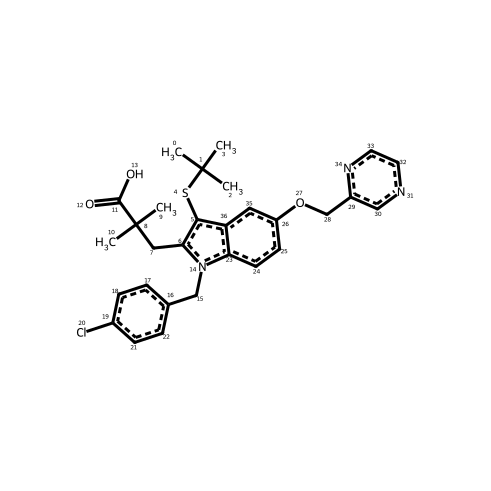 CC(C)(C)Sc1c(CC(C)(C)C(=O)O)n(Cc2ccc(Cl)cc2)c2ccc(OCc3cnccn3)cc12